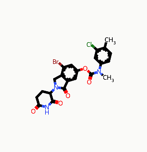 Cc1ccc(N(C)C(=O)Oc2cc(Br)c3c(c2)C(=O)N(C2CCC(=O)NC2=O)C3)cc1Cl